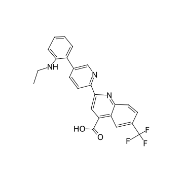 CCNc1ccccc1-c1ccc(-c2cc(C(=O)O)c3cc(C(F)(F)F)ccc3n2)nc1